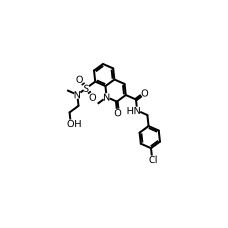 CN(CCO)S(=O)(=O)c1cccc2cc(C(=O)NCc3ccc(Cl)cc3)c(=O)n(C)c12